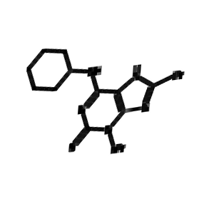 CCCn1c(=S)nc(NC2CCCCC2)c2[nH]c(C(C)C)nc21